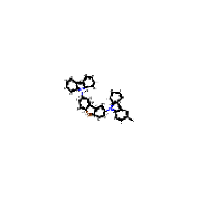 Cc1ccc2c(c1)c1ccccc1n2-c1ccc2sc3ccc(-n4c5ccccc5c5ccccc54)cc3c2c1